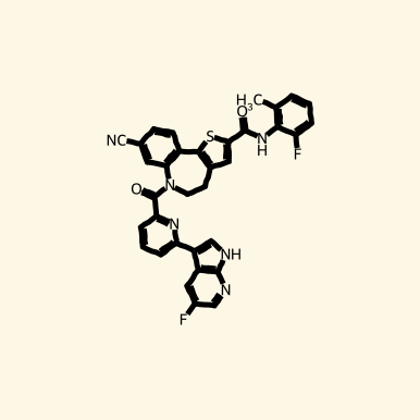 Cc1cccc(F)c1NC(=O)c1cc2c(s1)-c1ccc(C#N)cc1N(C(=O)c1cccc(-c3c[nH]c4ncc(F)cc34)n1)CC2